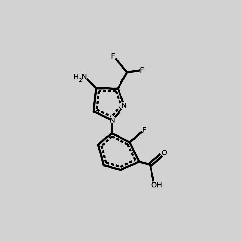 Nc1cn(-c2cccc(C(=O)O)c2F)nc1C(F)F